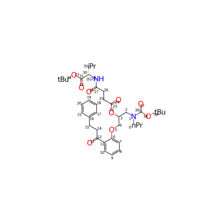 CCCN(CC(COc1ccccc1C(=O)CCc1ccccc1)OC(=O)CCC(=O)N[C@H](C(=O)OC(C)(C)C)C(C)C)C(=O)OC(C)(C)C